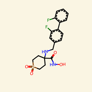 O=C(NO)C1(NCc2ccc(-c3ccccc3F)c(F)c2)CCS(=O)(=O)CC1